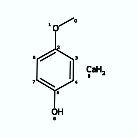 COc1ccc(O)cc1.[CaH2]